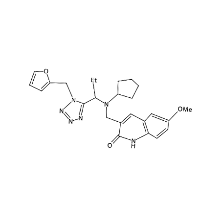 CCC(c1nnnn1Cc1ccco1)N(Cc1cc2cc(OC)ccc2[nH]c1=O)C1CCCC1